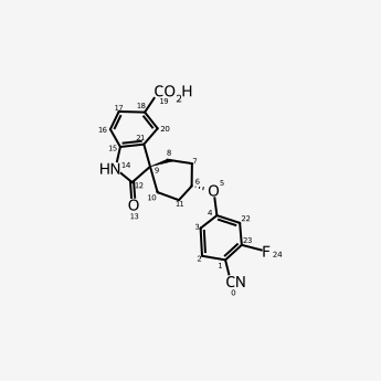 N#Cc1ccc(O[C@H]2CC[C@@]3(CC2)C(=O)Nc2ccc(C(=O)O)cc23)cc1F